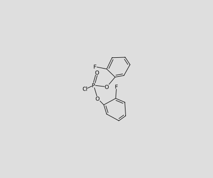 O=P(Cl)(Oc1ccccc1F)Oc1ccccc1F